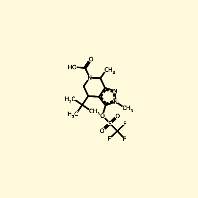 CC1c2nn(C)c(OS(=O)(=O)C(F)(F)F)c2C(C(C)(C)C)CN1C(=O)O